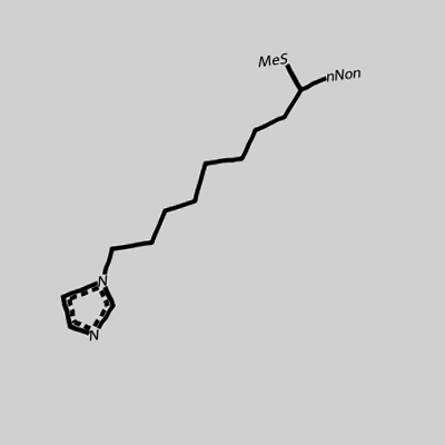 CCCCCCCCCC(CCCCCCCCn1ccnc1)SC